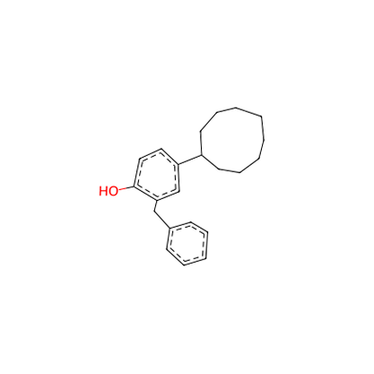 Oc1ccc(C2CCCCCCCC2)cc1Cc1ccccc1